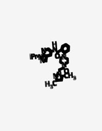 Cc1cc(C)n(CC(=O)N2CCN(c3ccccc3C(=O)Nc3cnc4c(cnn4C(C)C)c3)CC2)n1